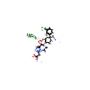 Cl.Cl.Cl.NC[C@]1(c2cccc(Cl)c2)CC[C@H](N2CCn3c(CC(N)=O)nnc3C2=O)CC1